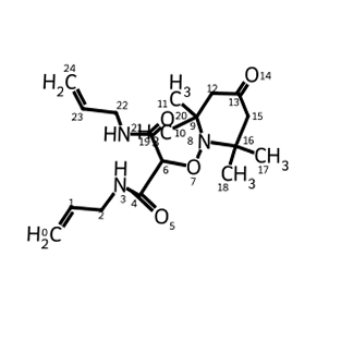 C=CCNC(=O)C(ON1C(C)(C)CC(=O)CC1(C)C)C(=O)NCC=C